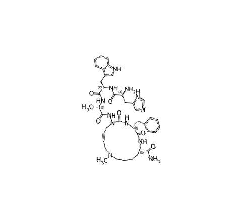 C[C@H](NC(=O)[C@@H](Cc1c[nH]c2ccccc12)NC(=O)[C@@H](N)Cc1cnc[nH]1)C(=O)NN1CC#CCN(C)CCCC[C@@H](C(N)=O)NC(=O)[C@@H](Cc2ccccc2)NC1=O